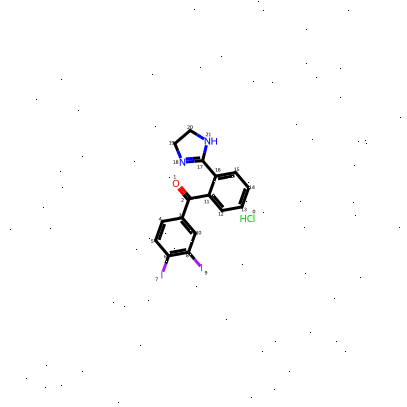 Cl.O=C(c1ccc(I)c(I)c1)c1ccccc1C1=NCCN1